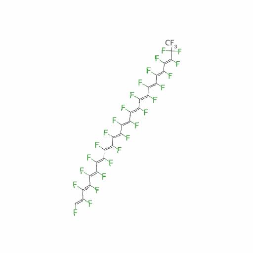 F/C=C(F)/C(F)=C(F)/C(F)=C(F)/C(F)=C(F)/C(F)=C(F)/C(F)=C(F)/C(F)=C(F)/C(F)=C(F)/C(F)=C(F)/C(F)=C(F)/C(F)=C(F)/C(F)=C(\F)C(F)(F)C(F)(F)F